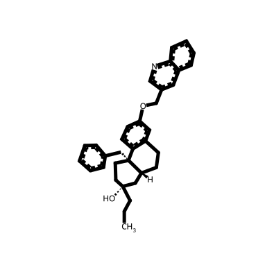 CCC[C@@]1(O)CC[C@@]2(Cc3ccccc3)c3ccc(OCc4cnc5ccccc5c4)cc3CC[C@@H]2C1